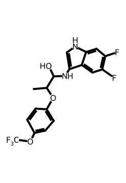 CC(Oc1ccc(OC(F)(F)F)cc1)C(O)Nc1c[nH]c2cc(F)c(F)cc12